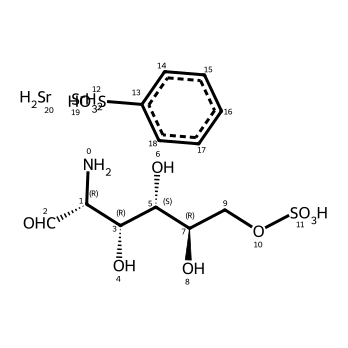 N[C@@H](C=O)[C@@H](O)[C@H](O)[C@H](O)COS(=O)(=O)O.O=S(=O)(O)c1ccccc1.[SrH2].[SrH2]